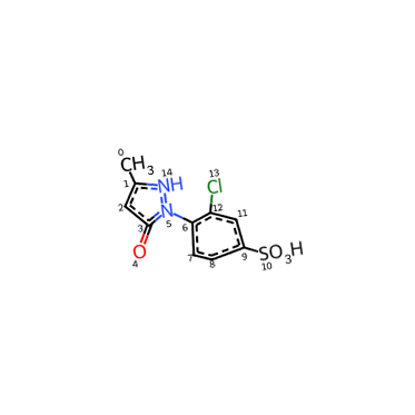 Cc1cc(=O)n(-c2ccc(S(=O)(=O)O)cc2Cl)[nH]1